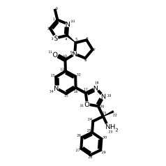 Cc1csc([C@H]2CCCN2C(=O)c2cncc(-c3nnc([C@](C)(N)Cc4ccccc4)o3)c2)n1